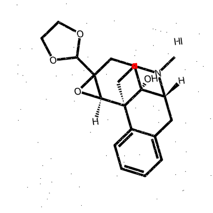 CN1CC[C@@]23c4ccccc4C[C@@H]1[C@]2(O)CCC1(C2OCCO2)O[C@@H]13.I